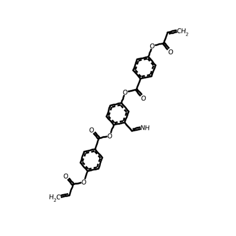 C=CC(=O)Oc1ccc(C(=O)Oc2ccc(OC(=O)c3ccc(OC(=O)C=C)cc3)c(C=N)c2)cc1